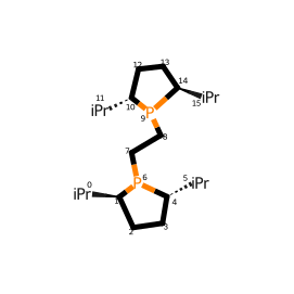 CC(C)[C@@H]1CC[C@@H](C(C)C)P1CCP1[C@H](C(C)C)CC[C@H]1C(C)C